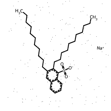 CCCCCCCCCCCc1cc2ccccc2c(S(=O)(=O)[O-])c1CCCCCCCCCCC.[Na+]